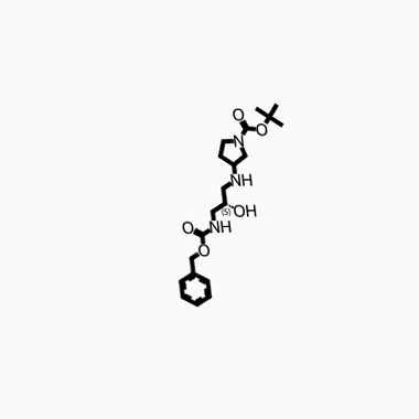 CC(C)(C)OC(=O)N1CCC(NC[C@H](O)CNC(=O)OCc2ccccc2)C1